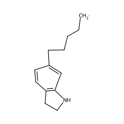 [CH2]CCCCc1ccc2c(c1)NCC2